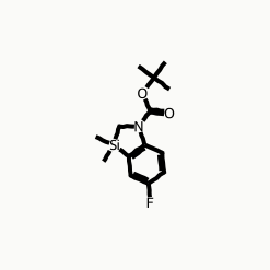 CC(C)(C)OC(=O)N1C[Si](C)(C)c2cc(F)ccc21